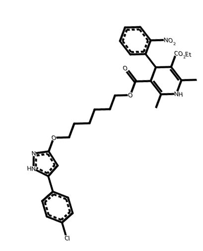 CCOC(=O)C1=C(C)NC(C)=C(C(=O)OCCCCCCOc2cc(-c3ccc(Cl)cc3)[nH]n2)C1c1ccccc1[N+](=O)[O-]